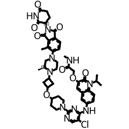 CNC(=O)COc1cc2cc(Nc3nc(N4CCC(OC5CC(N6CCN(c7ccc8c(c7C)C(=O)N([C@@H]7CCC(=O)NC7=O)C8=O)C[C@@H]6C)C5)CC4)ncc3Cl)ccc2n(C(C)C)c1=O